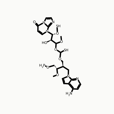 COC(OC(S)OC[C@@H](Cn1ccc2c(N)ccnc21)[C@@H](COP)OC)[C@@H](O)[C@@H](OS)n1ccc(=O)n2ccnc12